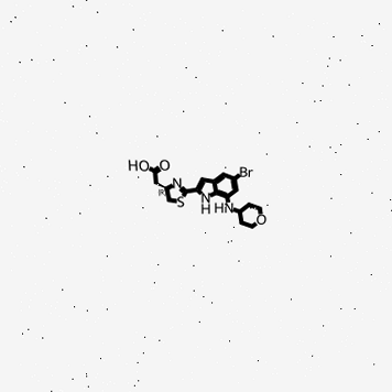 O=C(O)C[C@@H]1CSC(c2cc3cc(Br)cc(NC4CCOCC4)c3[nH]2)=N1